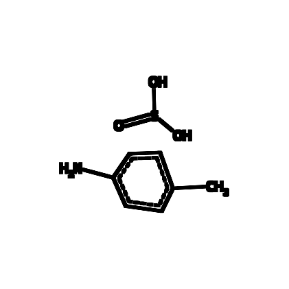 Cc1ccc(N)cc1.O=S(O)O